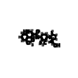 CC1CCC2(C[C@H]2O)N1c1ccc(NC(=O)c2c[nH]c3cccc(C(F)(F)F)c3c2=O)c(C(F)(F)F)c1